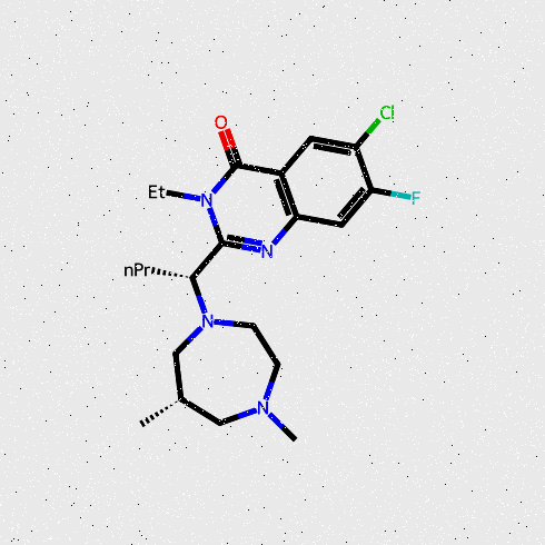 CCC[C@H](c1nc2cc(F)c(Cl)cc2c(=O)n1CC)N1CCN(C)C[C@H](C)C1